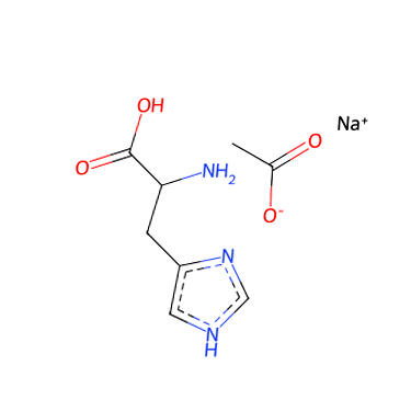 CC(=O)[O-].NC(Cc1c[nH]cn1)C(=O)O.[Na+]